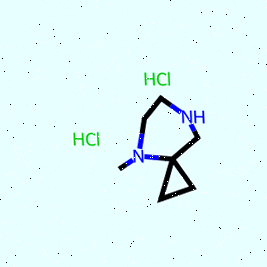 CN1CCNCC12CC2.Cl.Cl